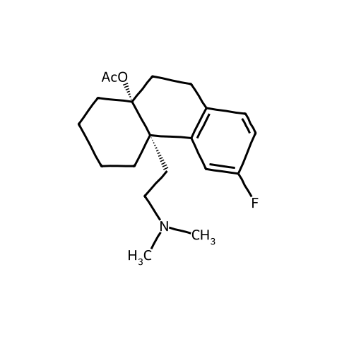 CC(=O)O[C@@]12CCCC[C@]1(CCN(C)C)c1cc(F)ccc1CC2